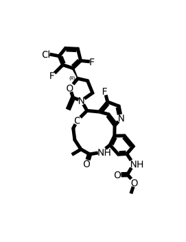 C=C1O[C@@H](c2c(F)ccc(Cl)c2F)CCN1C1CCCC(C)C(=O)Nc2cc(NC(=O)OC)ccc2-c2cc1c(F)cn2